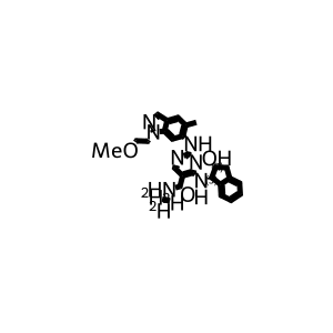 [2H]C([2H])([2H])NC(=O)c1cnc(Nc2cc3c(cnn3CCOC)cc2C)nc1N[C@H]1c2ccccc2C[C@H]1O